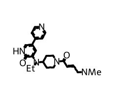 CCN(c1cc(-c2ccncc2)c[nH]c1=O)C1CCN(C(=O)/C=C/CNC)CC1